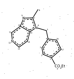 CCOC(=O)c1ccc(Cn2c(C)nc3cnccc32)cc1